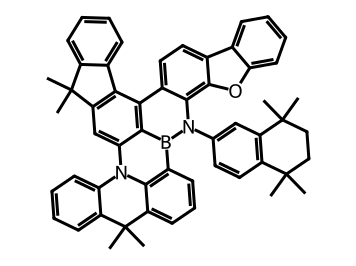 CC1(C)CCC(C)(C)c2cc(N3B4c5cccc6c5N(c5ccccc5C6(C)C)c5cc6c(c(c54)-c4ccc5c(oc7ccccc75)c43)-c3ccccc3C6(C)C)ccc21